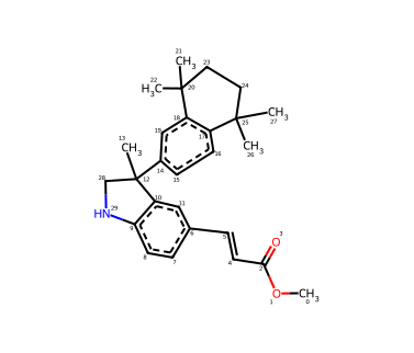 COC(=O)C=Cc1ccc2c(c1)C(C)(c1ccc3c(c1)C(C)(C)CCC3(C)C)CN2